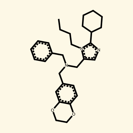 CCCCn1c(CN(Cc2ccccc2)Cc2ccc3c(c2)OCCO3)cnc1C1CCCCC1